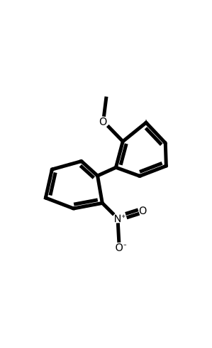 COc1[c]cccc1-c1ccccc1[N+](=O)[O-]